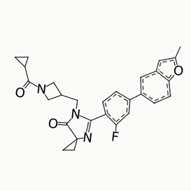 Cc1cc2cc(-c3ccc(C4=NC5(CC5)C(=O)N4CC4CN(C(=O)C5CC5)C4)c(F)c3)ccc2o1